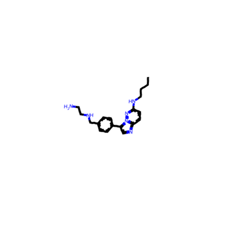 CCCCNc1ccc2ncc(-c3ccc(CNCCN)cc3)n2n1